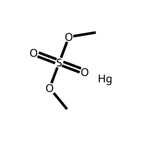 COS(=O)(=O)OC.[Hg]